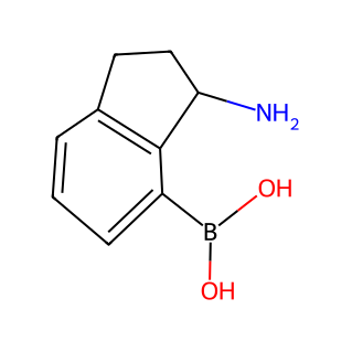 NC1CCc2cccc(B(O)O)c21